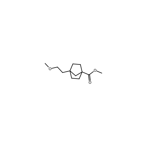 COCCC12CCC(C(=O)OC)(CC1)C2